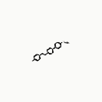 CCCCOc1ccc(-c2ccc(CCc3ccc(C)cc3)cc2)cc1